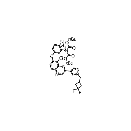 CCCCOC(=O)N(C(=O)OC(C)(C)C)c1cc(Oc2ccc3ncc(-c4cnn(CC5CC(F)(F)C5)c4)nc3c2Cl)ccc1N